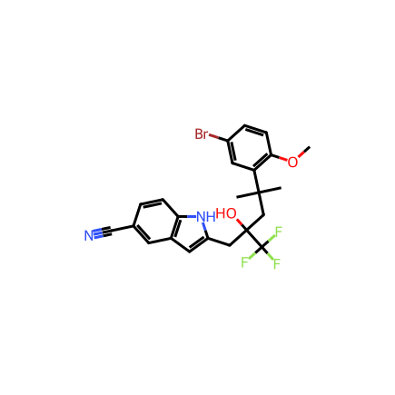 COc1ccc(Br)cc1C(C)(C)CC(O)(Cc1cc2cc(C#N)ccc2[nH]1)C(F)(F)F